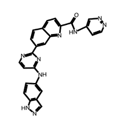 O=C(Nc1ccnnc1)c1ccc2ccc(-c3nccc(Nc4ccc5[nH]ncc5c4)n3)cc2n1